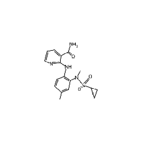 Cc1ccc(Nc2ncccc2C(N)=O)c(N(C)S(=O)(=O)C2CC2)c1